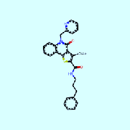 COc1c(C(=O)NCCCc2ccccc2)sc2c1c(=O)n(Cc1ccccn1)c1ccccc21